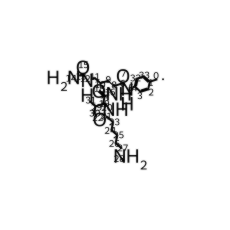 [CH2]c1ccc(NC(=O)[C@H](CCCNC(N)=O)NC(=O)[C@@H](NC(=O)CCCCCN)C(C)C)cc1